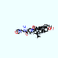 CC1(C)[C@@H](O)CC[C@]2(C)[C@H]3CC[C@@H]4[C@H]5[C@H](C6CC6)CC[C@]5(C(=O)N5CCC(C(=O)NCCN6CCOCC6)CC5)CC[C@@]4(C)[C@]3(C)CC[C@@H]12